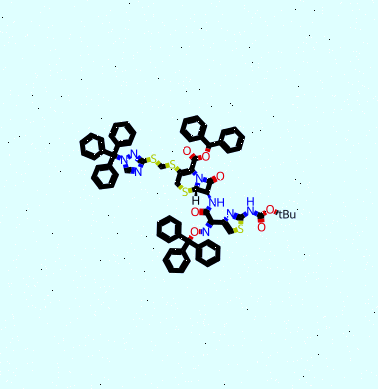 CC(C)(C)OC(=O)Nc1nc(/C(=N/OC(c2ccccc2)(c2ccccc2)c2ccccc2)C(=O)N[C@@H]2C(=O)N3C(C(=O)OC(c4ccccc4)c4ccccc4)=C(SCSc4ncn(C(c5ccccc5)(c5ccccc5)c5ccccc5)n4)CS[C@@H]23)cs1